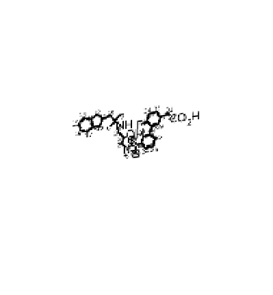 CN(C[C@H](O)CNC(C)(C)CC1Cc2ccccc2C1)S(=O)(=O)c1cccc(-c2cc(CC(=O)O)ccc2F)c1